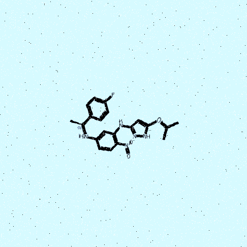 CC(C)Oc1cc(Nc2cc(N[C@@H](C)c3ccc(F)cc3)ccc2[N+](=O)[O-])n[nH]1